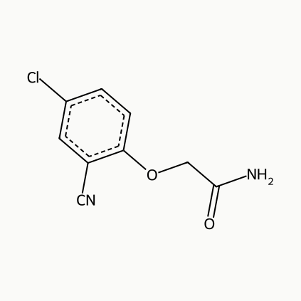 N#Cc1cc(Cl)ccc1OCC(N)=O